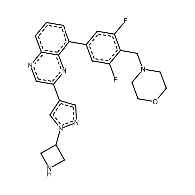 Fc1cc(-c2cccc3ncc(-c4cnn(C5CNC5)c4)nc23)cc(F)c1CN1CCOCC1